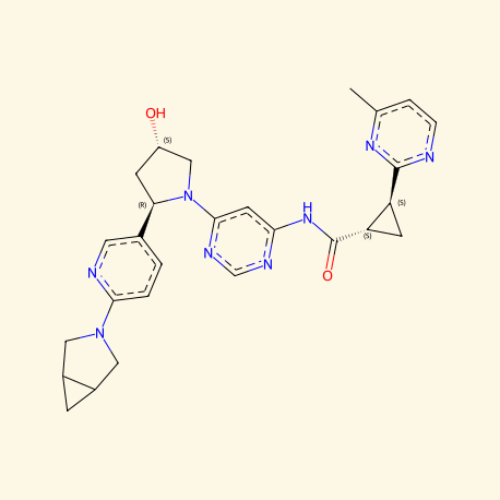 Cc1ccnc([C@H]2C[C@@H]2C(=O)Nc2cc(N3C[C@@H](O)C[C@@H]3c3ccc(N4CC5CC5C4)nc3)ncn2)n1